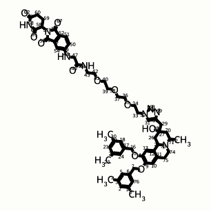 Cc1cc(C)cc(COc2cc3c(cc2OCc2cc(C)cc(C)c2)C2CC(O)(Cc4cn(CCOCCOCCOCCNC(=O)CNc5ccc6c(c5)C(=O)N(C5CCC(=O)NC5=O)C6=O)nn4)CC(C)N2CC3)c1